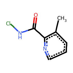 Cc1cccnc1C(=O)NCl